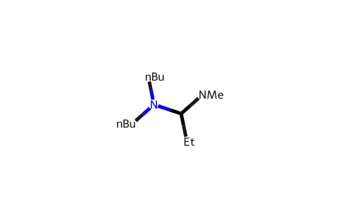 CCCCN(CCCC)C(CC)NC